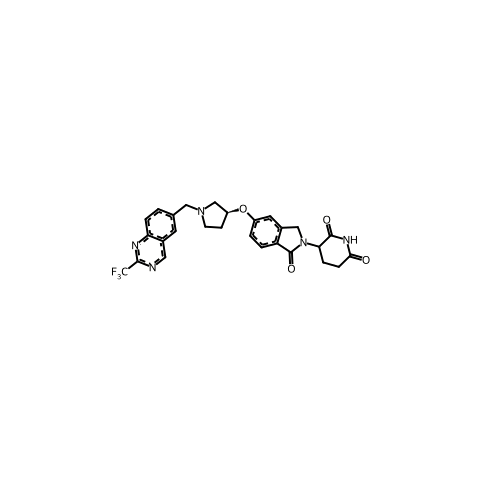 O=C1CCC(N2Cc3cc(O[C@H]4CCN(Cc5ccc6nc(C(F)(F)F)ncc6c5)C4)ccc3C2=O)C(=O)N1